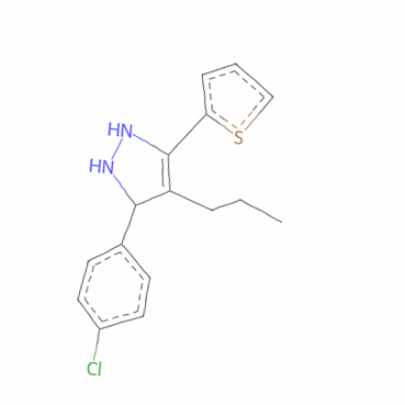 CCCC1=C(c2cccs2)NNC1c1ccc(Cl)cc1